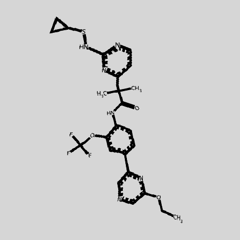 CCOc1cncc(-c2ccc(NC(=O)C(C)(C)c3ccnc(NSC4CC4)n3)c(OC(F)(F)F)c2)n1